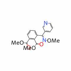 CO/N=C(\c1cccnc1)c1cccc(C(=O)OC)c1C(=O)OC